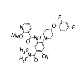 COc1ncccc1C(=O)Nc1cc(C(=O)N(C)C)c(C#N)cc1N1CCC(Oc2ccc(F)cc2F)CC1